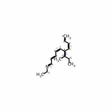 C=C\C=C/C(/C=C\C=C\C=N\CC)=C(/C)CC